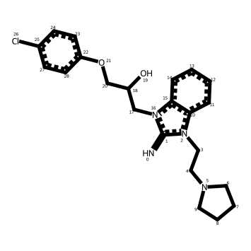 N=c1n(CCN2CCCC2)c2ccccc2n1CC(O)COc1ccc(Cl)cc1